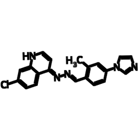 Cc1cc(-n2ccnc2)ccc1/C=N/N=c1\cc[nH]c2cc(Cl)ccc12